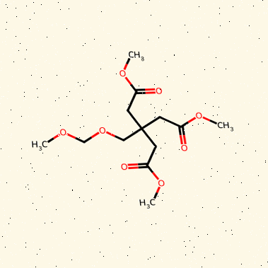 COCOCC(CC(=O)OC)(CC(=O)OC)CC(=O)OC